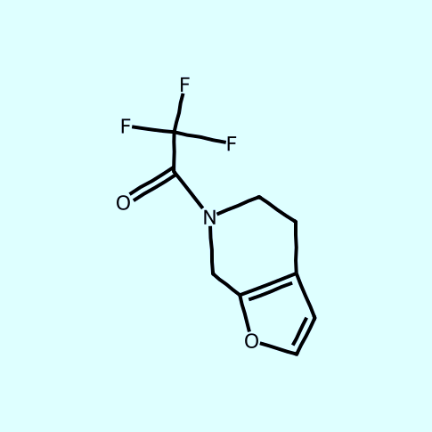 O=C(N1CCc2ccoc2C1)C(F)(F)F